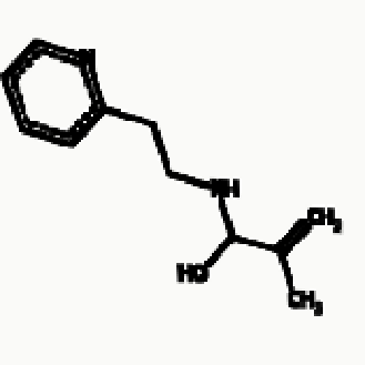 C=C(C)C(O)NCCc1ccccn1